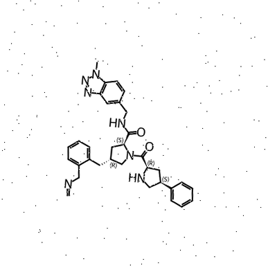 C=NCc1ccccc1C[C@@H]1C[C@@H](C(=O)NCc2ccc3c(c2)nnn3C)N(C(=O)[C@H]2C[C@@H](c3ccccc3)CN2)C1